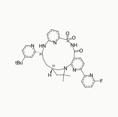 CC(C)(C)c1ccnc([C@H]2CC[C@@H]3CN(c4nc(-c5cccc(F)n5)ccc4C(=O)NS(=O)(=O)c4cccc(n4)N2)C(C)(C)C3)c1